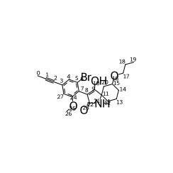 CC#Cc1cc(Br)c(C2=C(O)C3(CCCC(OCCC)C3)NC2=O)c(OC)c1